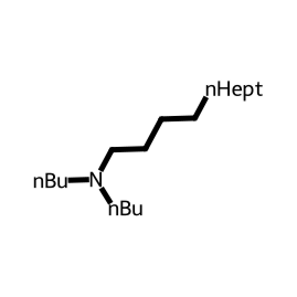 CCCCCCCCCCCN(CCCC)CCCC